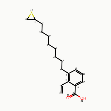 C=Cc1c(CCCCCCCCC2CS2)cccc1C(=O)O